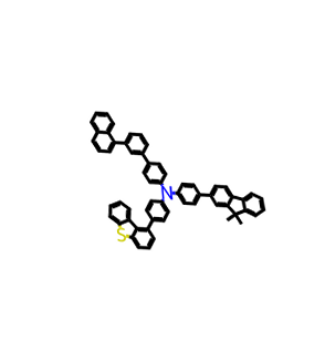 CC1(C)c2ccccc2-c2ccc(-c3ccc(N(c4ccc(-c5cccc(-c6cccc7ccccc67)c5)cc4)c4ccc(-c5cccc6sc7ccccc7c56)cc4)cc3)cc21